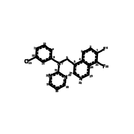 Fc1ccc2c(CN(c3cccc(Cl)c3)c3ncccn3)cncc2c1F